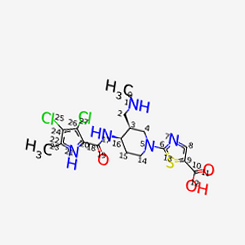 CNC[C@H]1CN(c2ncc(C(=O)O)s2)CC[C@H]1NC(=O)c1[nH]c(C)c(Cl)c1Cl